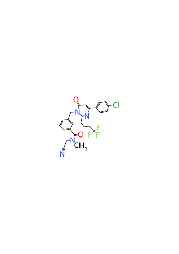 CN(CC#N)C(=O)c1cccc(Cn2c(CCCC(F)(F)F)nc(-c3ccc(Cl)cc3)cc2=O)c1